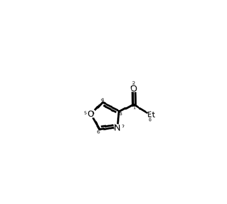 CCC(=O)c1cocn1